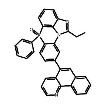 CCc1nc2cccc3c2n1-c1cc(-c2cc4ccccc4c4ncccc24)ccc1P3(=O)c1ccccc1